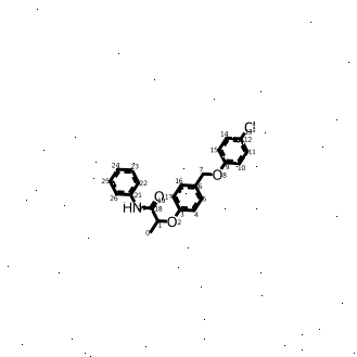 CC(Oc1ccc(COc2ccc(Cl)cc2)cc1)C(=O)Nc1ccccc1